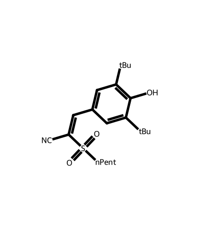 CCCCCS(=O)(=O)/C(C#N)=C\c1cc(C(C)(C)C)c(O)c(C(C)(C)C)c1